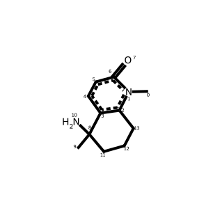 Cn1c2c(ccc1=O)C(C)(N)CCC2